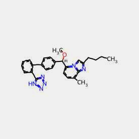 CCCCc1cn2c([C@H](OC)c3ccc(-c4ccccc4-c4nnn[nH]4)cc3)ccc(C)c2n1